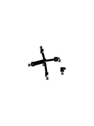 O=P([O-])(F)F.[K+]